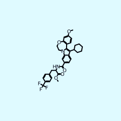 COC(=O)C(Cc1ccc(C(F)(F)F)cc1)NC(=O)c1ccc2c(C3CCCCC3)c3n(c2c1)CCOc1cc(OC)ccc1-3